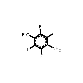 Cc1c(N)c(F)c(F)c(C(F)(F)F)c1F